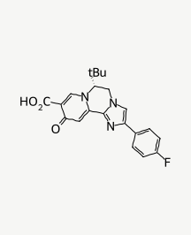 CC(C)(C)[C@@H]1Cn2cc(-c3ccc(F)cc3)nc2-c2cc(=O)c(C(=O)O)cn21